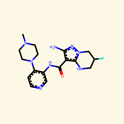 CN1CCN(c2ccncc2NC(=O)c2c(N)nn3c2NCC(F)C3)CC1